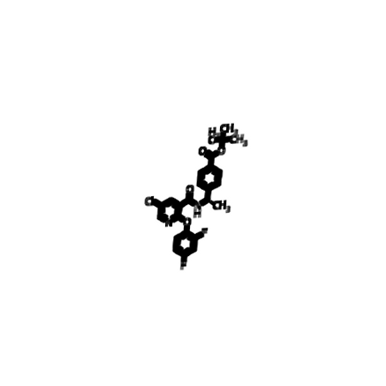 C[C@H](NC(=O)c1cc(Cl)cnc1Oc1ccc(F)cc1F)c1ccc(C(=O)OC(C)(C)C)cc1